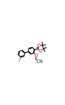 CC1(C)OB(c2ccc(-c3cccc(F)c3)cc2OCC#N)OC1(C)C